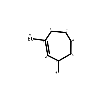 CCC1=CC(C)CCCC1